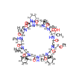 CCCCN1C(=O)[C@H]([C@@H](C)O)NC(=O)CN(CCOCC)C(=O)[C@H](Cc2ccccc2)N(C)C(=O)[C@H](CC)NC(=O)[C@H](Cc2ccccc2)N(C)C(=O)[C@H](CC(C)C)N(C)C(=O)[C@H](CC(C)C)NC(=O)[C@H](CC)N(C)C(=O)[C@@H](C(=O)N2CCCCC2)NC(=O)[C@H](CC(C)C)N(C)C1=O